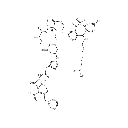 CC[C@H](C)C(=O)O[C@H]1CCC=C2C=C[C@H](C)[C@H](CC[C@@H]3C[C@@H](O)CC(=O)O3)[C@H]21.CN1c2ccccc2C(NCCCCCCC(=O)O)c2ccc(Cl)cc2S1(=O)=O.O=C(Cc1cccs1)N[C@@H]1C(=O)N2C(C(=O)[O-])=C(C[n+]3ccccc3)CS[C@H]12